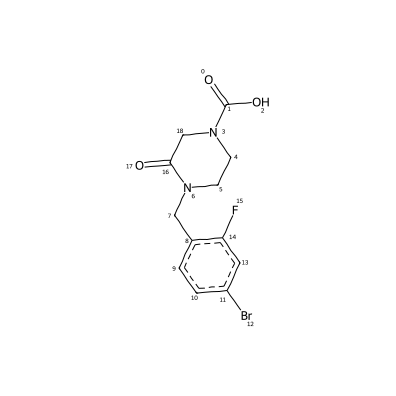 O=C(O)N1CCN(Cc2ccc(Br)cc2F)C(=O)C1